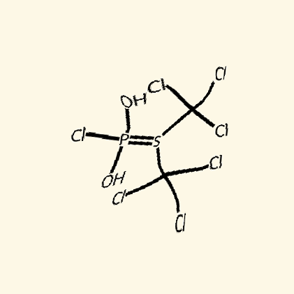 OP(O)(Cl)=S(C(Cl)(Cl)Cl)C(Cl)(Cl)Cl